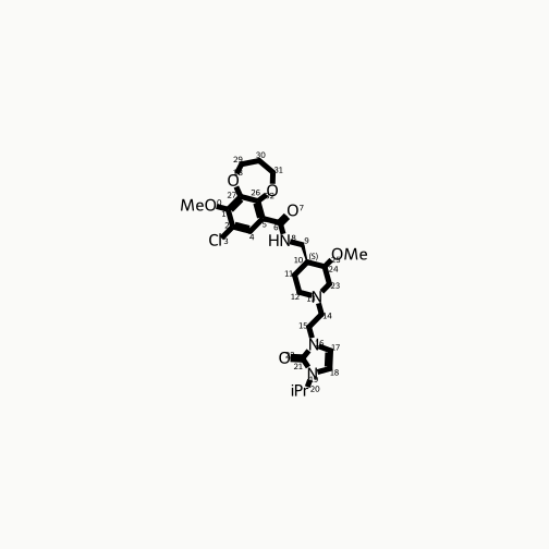 COc1c(Cl)cc(C(=O)NC[C@@H]2CCN(CCn3ccn(C(C)C)c3=O)CC2OC)c2c1OCCCO2